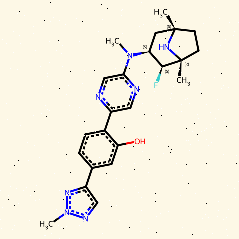 CN(c1cnc(-c2ccc(-c3cnn(C)n3)cc2O)cn1)[C@H]1C[C@]2(C)CC[C@@](C)(N2)[C@H]1F